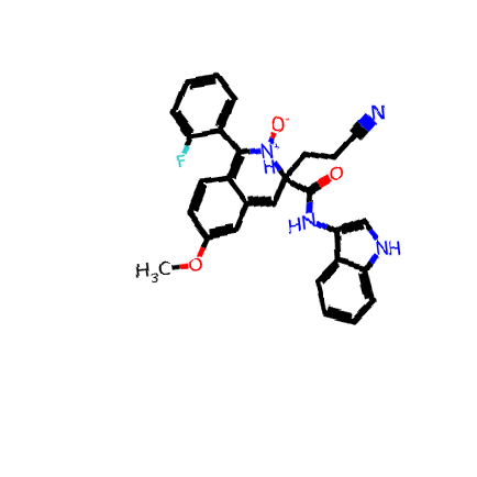 COc1ccc2c(c1)=CC(CCC#N)(C(=O)Nc1c[nH]c3ccccc13)[NH+]([O-])C=2c1ccccc1F